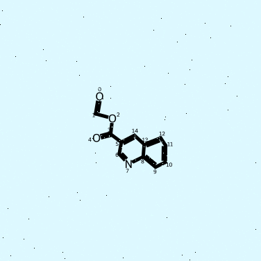 O=COC(=O)c1cnc2ccccc2c1